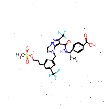 C[C@H](NC(=O)c1c(C(F)(F)F)nn2c1N(Cc1cc(CCCOS(C)(=O)=O)cc(C(F)(F)F)c1)CC2)c1ccc(C(=O)O)cc1